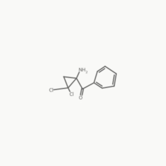 NC1(C(=O)c2ccccc2)CC1(Cl)Cl